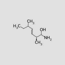 CCC(C)/C=C/[C@H](C)C(N)O